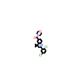 O=C(c1ccc2c(c1)C1(CC1)CC(c1cc(Cl)ccc1Cl)N2)N1CCOCC1